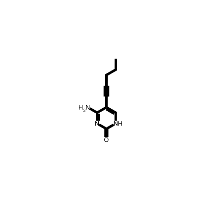 CCCC#Cc1c[nH]c(=O)nc1N